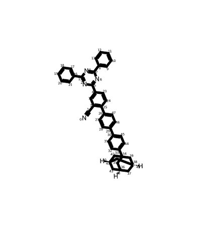 N#Cc1cc(-c2nc(-c3ccccc3)nc(-c3ccccc3)n2)ccc1-c1ccc(-c2ccc(C34C[C@H]5C[C@H](C3)C[C@@H](C4)C5)cc2)cc1